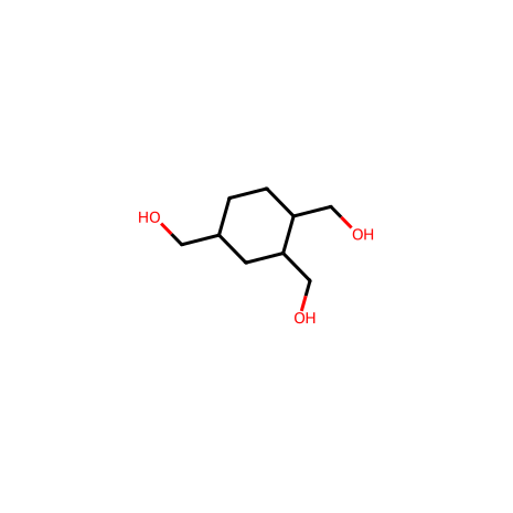 OCC1CCC(CO)C(CO)C1